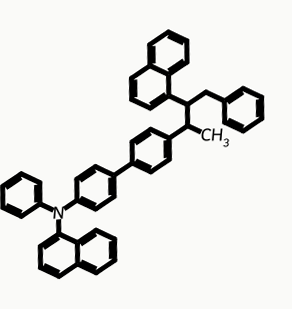 CC(c1ccc(-c2ccc(N(c3ccccc3)c3cccc4ccccc34)cc2)cc1)C(Cc1ccccc1)c1cccc2ccccc12